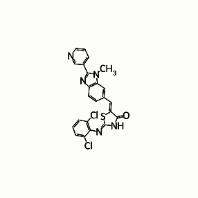 Cn1c(-c2cccnc2)nc2ccc(/C=C3\S/C(=N\c4c(Cl)cccc4Cl)NC3=O)cc21